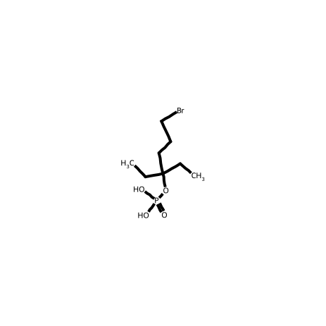 CCC(CC)(CCCBr)OP(=O)(O)O